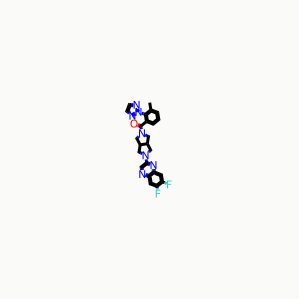 Cc1cccc(C(=O)N2CC3CN(c4cnc5cc(F)c(F)cc5n4)CC3C2)c1-n1nccn1